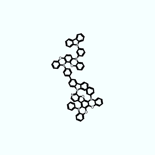 c1ccc(B2c3ccccc3Oc3c4c(c5c(oc6c(-n7c8ccccc8c8cc(-c9ccc(B%10c%11ccccc%11Oc%11ccc%12c(c%11%10)Oc%10ccccc%10B%12c%10cccc(-n%11c%12ccccc%12c%12ccccc%12%11)c%10)cc9)ccc87)nccc65)c32)B(c2ccccc2)c2ccccc2O4)cc1